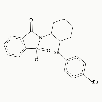 CC(C)(C)c1ccc([Se]C2CCCCC2N2C(=O)c3ccccc3S2(=O)=O)cc1